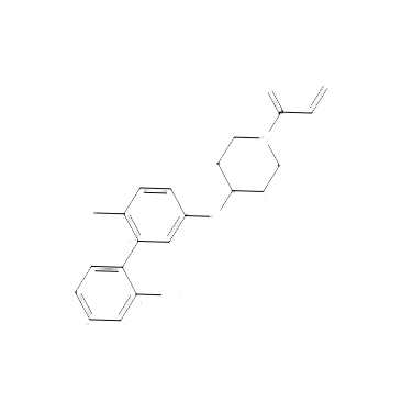 C=CC(=O)N1CCC(Oc2ccc(Cl)c(-c3ccccc3OC)c2)CC1